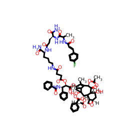 CC(=O)O[C@H]1C(=O)[C@@]2(C)[C@H]([C@H](OC(=O)c3ccccc3)[C@]3(O)C[C@H](OC(=O)[C@H](OC(=O)CCC(=O)NCCCCC(NC(=O)CC[C@H](NC(=O)C(C)NC(=O)/C=C/c4ccc(F)cc4)C(N)=O)C(N)=O)[C@@H](NC(=O)c4ccccc4)c4ccccc4)C(C)=C1C3(C)C)[C@]1(OC(C)=O)CO[C@@H]1C[C@@H]2O